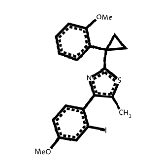 COc1ccc(-c2nc(C3(c4ccccc4OC)CC3)sc2C)c(I)c1